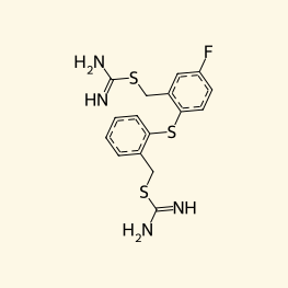 N=C(N)SCc1ccccc1Sc1ccc(F)cc1CSC(=N)N